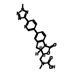 CN(C[C@@H]1OC(=O)N2c3ccc(-c4ccc(-c5nnn(C)n5)nc4)cc3C[C@@H]12)C(=O)O